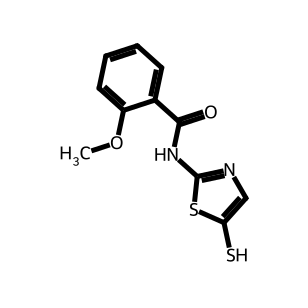 COc1ccccc1C(=O)Nc1ncc(S)s1